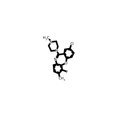 Cc1ccc2c(c1F)Oc1ccc(Cl)cc1C(N1CCN(C)CC1)=N2